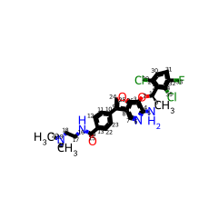 C[C@@H](Oc1c(N)ncc2c(-c3ccc(C(=O)NCCN(C)C)cc3)coc12)c1c(Cl)ccc(F)c1Cl